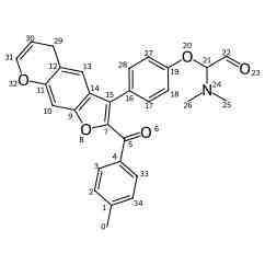 Cc1ccc(C(=O)c2oc3cc4c(cc3c2-c2ccc(OC(C=O)N(C)C)cc2)CC=CO4)cc1